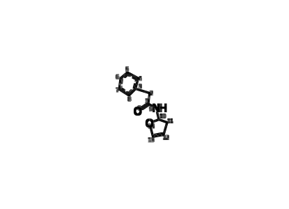 O=C(Cc1ccccc1)NC1CC=CO1